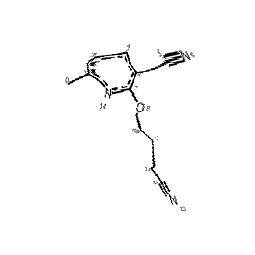 Cc1ccc(C#N)c(OCCCC#N)n1